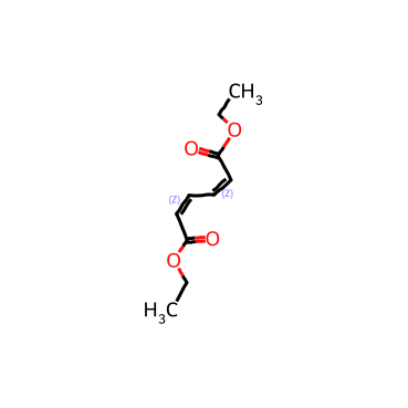 CCOC(=O)/C=C\C=C/C(=O)OCC